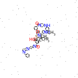 CNc1cc(NC2CCN(C(=O)c3cccc(OCc4nc(C(C)(C)C)c(-c5ccc(C(=O)N6CC7(CC(N8CC9CCN(Cc%10ccccc%10)C9C8)C7)C6)cc5O)s4)c3)CC2)ccc1C